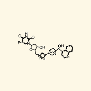 O=c1[nH]c(=O)n(C2CC(O)C(Cn3cc(C4CN5CCC4CC5C(O)c4ccnc5ccccc45)nn3)O2)cc1F